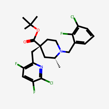 C[C@@H]1C[C@](Cc2nc(Cl)c(F)cc2F)(C(=O)OC(C)(C)C)CCN1Cc1cccc(Cl)c1F